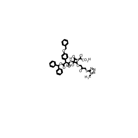 COC1(NC(=O)C(C(=O)OC(c2ccccc2)c2ccccc2)c2ccc(OCc3ccccc3)cc2)C(=O)N(C(Cl)C(=O)O)C1OCC(=O)CSc1nnnn1C